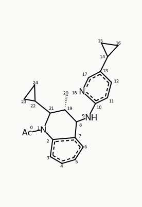 CC(=O)N1c2ccccc2C(Nc2ccc(C3CC3)cn2)[C@@H](C)C1C1CC1